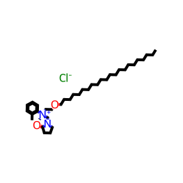 CCCCCCCCCCCCCCCCCCCCCCOCC[N+](C)(CN1CCCC1=O)c1ccccc1C.[Cl-]